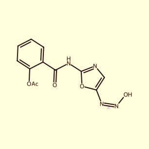 CC(=O)Oc1ccccc1C(=O)Nc1ncc(/N=N\O)o1